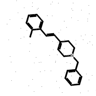 Cc1ccccc1/C=C/C1=CCN(Cc2ccccc2)CC1